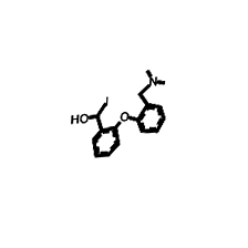 CN(C)Cc1ccccc1Oc1ccccc1C(O)I